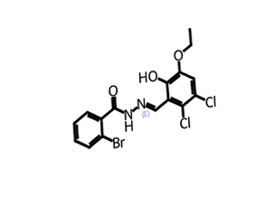 CCOc1cc(Cl)c(Cl)c(/C=N/NC(=O)c2ccccc2Br)c1O